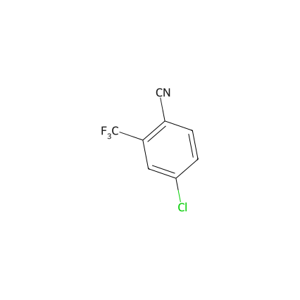 N#Cc1ccc(Cl)cc1C(F)(F)F